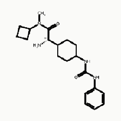 CN(C(=O)[C@@H](N)C1CCC(NC(=O)Nc2ccccc2)CC1)C1CCC1